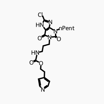 CCCCCn1c(=O)n(CCCNC(=O)OCCc2ccncc2)c(=O)c2[nH]c(Cl)nc21